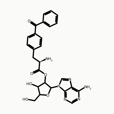 Nc1ncnc2c1ncn2C1OC(CO)C(O)C1OC(=O)[C@H](N)Cc1ccc(C(=O)c2ccccc2)cc1